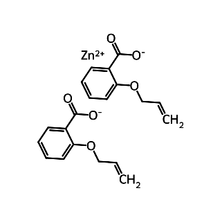 C=CCOc1ccccc1C(=O)[O-].C=CCOc1ccccc1C(=O)[O-].[Zn+2]